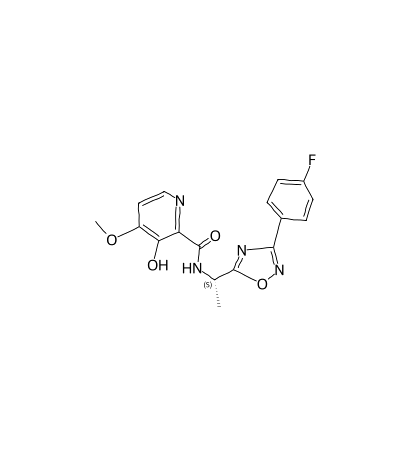 COc1ccnc(C(=O)N[C@@H](C)c2nc(-c3ccc(F)cc3)no2)c1O